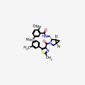 COc1ccc(OC)c(C(=O)NC[C@@H]2[C@H]3C[C@H]3CN2C(=O)c2nc(C)sc2-c2cccc(C)c2)c1